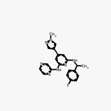 CC(Nc1cc(-c2cnn(C)c2)cc(Nc2cnccn2)n1)c1ccc(F)cc1